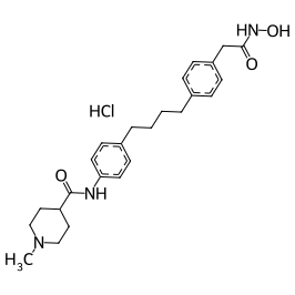 CN1CCC(C(=O)Nc2ccc(CCCCc3ccc(CC(=O)NO)cc3)cc2)CC1.Cl